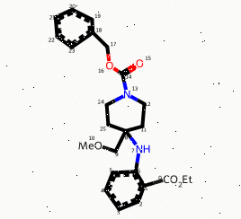 CCOC(=O)c1ccccc1NC1(COC)CCN(C(=O)OCc2ccccc2)CC1